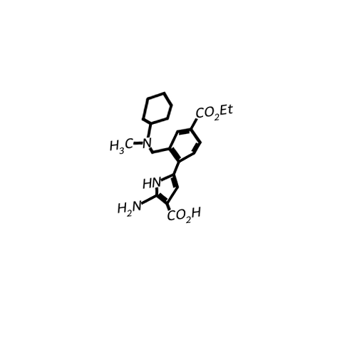 CCOC(=O)c1ccc(-c2cc(C(=O)O)c(N)[nH]2)c(CN(C)C2CCCCC2)c1